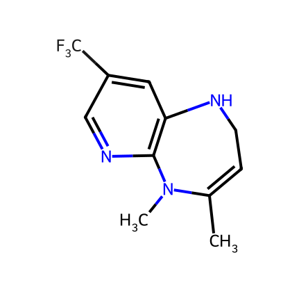 CC1=CCNc2cc(C(F)(F)F)cnc2N1C